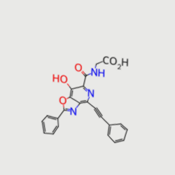 O=C(O)CNC(=O)c1nc(C#Cc2ccccc2)c2nc(-c3ccccc3)oc2c1O